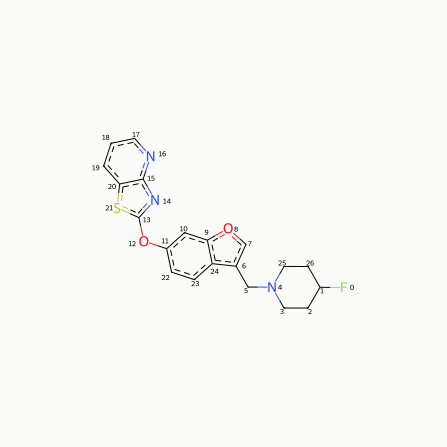 FC1CCN(Cc2coc3cc(Oc4nc5ncccc5s4)ccc23)CC1